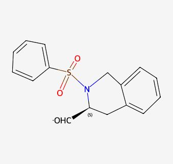 O=[C][C@@H]1Cc2ccccc2CN1S(=O)(=O)c1ccccc1